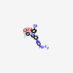 COc1ccc(-c2cc3cc(N4CCC(N)CC4)ccc3n2-c2ccc(C#N)c(O)c2)cc1F